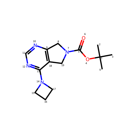 CC(C)(C)OC(=O)N1Cc2ncnc(N3CCC3)c2C1